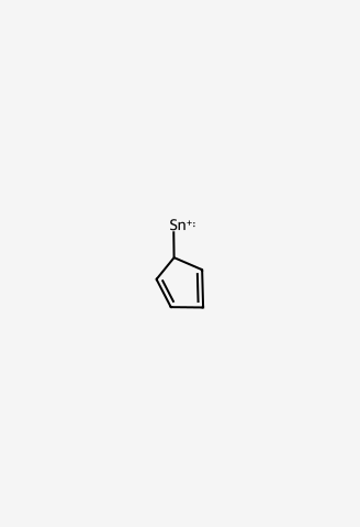 [Sn+][CH]1C=CC=C1